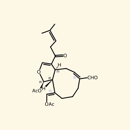 CC(=O)O/C=C1\CCC/C(C=O)=C\C[C@@H]2C(C(=O)CC=C(C)C)=CO[C@H](OC(C)=O)[C@@H]12